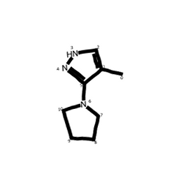 Cc1c[nH]nc1N1CCCC1